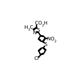 Cc1nc(-c2ccc(Sc3ccc(Cl)cc3)c([N+](=O)[O-])c2)sc1C(=O)O